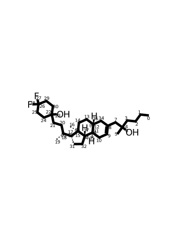 CCCCC(C)(O)CC1=CC[C@@H]2[C@H](CC[C@]3(C)[C@@H]([C@H](C)CCC4(O)CCC(F)(F)CC4)CC[C@@H]23)C1